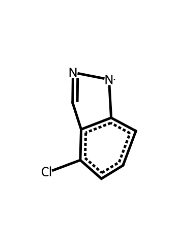 Clc1cccc2c1C=N[N]2